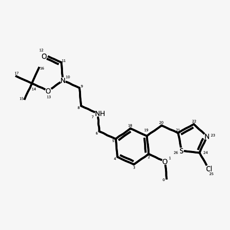 COc1ccc(CNCCN(C=O)OC(C)(C)C)cc1Cc1cnc(Cl)s1